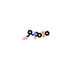 O=c1c2ccc(S(=O)(=O)c3ccccc3)cc2cnn1Cc1ccccc1CCO